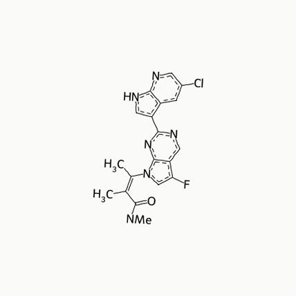 CNC(=O)/C(C)=C(/C)n1cc(F)c2cnc(-c3c[nH]c4ncc(Cl)cc34)nc21